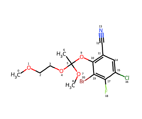 COCCOC(C)(OC)Oc1c(C#N)cc(Cl)c(F)c1Br